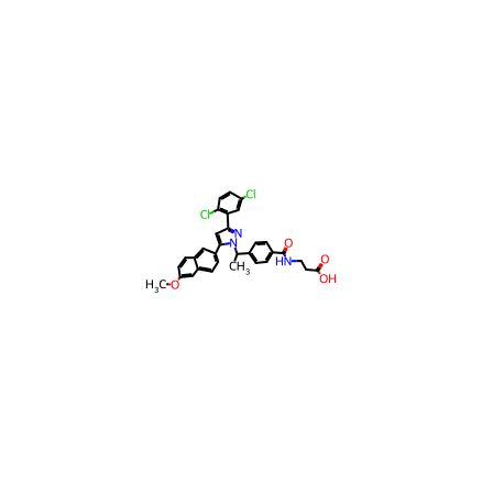 COc1ccc2cc(-c3cc(-c4cc(Cl)ccc4Cl)nn3C(C)c3ccc(C(=O)NCCC(=O)O)cc3)ccc2c1